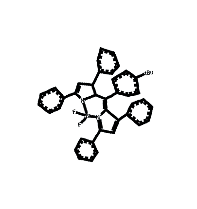 CC(C)(C)c1ccc(C2=C3C(c4ccccc4)=CC(c4ccccc4)=[N+]3[B-](F)(F)N3C(c4ccccc4)=CC(c4ccccc4)C23)cc1